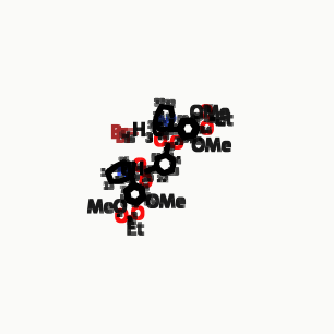 CCC(=O)Oc1c(OC)cc(C[N+]2(C)C3CCC2CC(OC(=O)C2CCCC(C(=O)OC4CC5CCC(C4)[N+]5(C)Cc4cc(OC)c(OC(=O)CC)c(OC)c4)C2)C3)cc1OC.[Br-].[Br-]